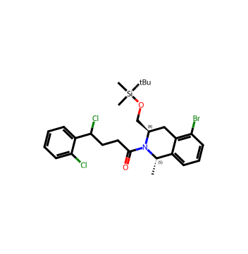 C[C@H]1c2cccc(Br)c2C[C@H](CO[Si](C)(C)C(C)(C)C)N1C(=O)CCC(Cl)c1ccccc1Cl